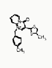 Cc1ccc(C[n+]2cc(C3SCC(C)S3)c(=O)n3ccccc32)cc1